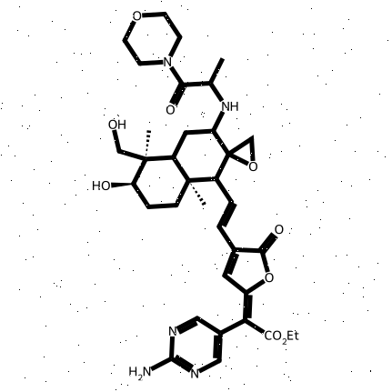 CCOC(=O)/C(=C1C=C(/C=C/C2C3(CO3)C(NC(C)C(=O)N3CCOCC3)CC3[C@]2(C)CC[C@@H](O)[C@@]3(C)CO)C(=O)O/1)c1cnc(N)nc1